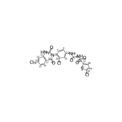 O=C(Nc1ccc(-n2c(=O)[nH]c3cc(Cl)ccc3c2=O)c(Cl)c1)NS(=O)(=O)c1ccc(Cl)s1